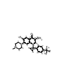 CN1CCN(c2cc3c(cc2F)c(=O)c(N)cn3C2(c3ccc(C(F)(F)F)cc3)CC2)CC1